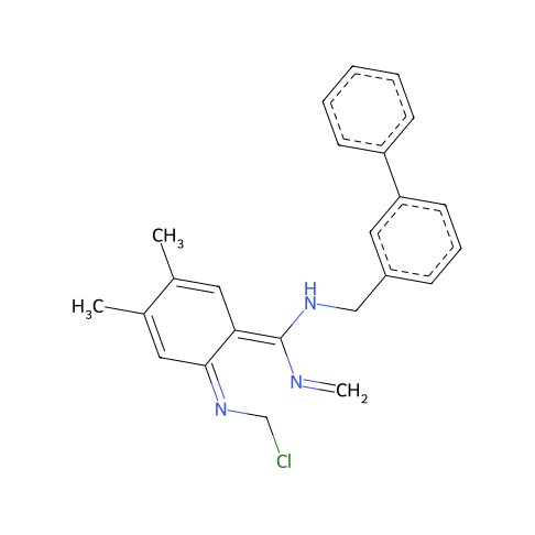 C=N/C(NCc1cccc(-c2ccccc2)c1)=C1/C=C(C)C(C)=C/C1=N/CCl